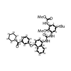 COC(=O)Nc1cc(C(C)(C)C)cc(NC(=O)Nc2ccc(Oc3ccnc(C(=O)N4CCCCC4)c3)c3ccccc23)c1OC